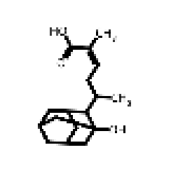 CC(=CCC(C)C1C2CC3CC(C2)CC1(O)C3)C(=O)O